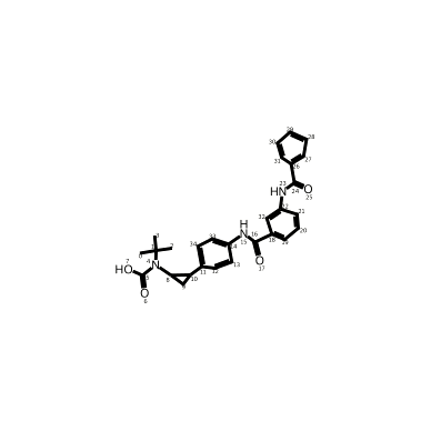 CC(C)(C)N(C(=O)O)C1CC1c1ccc(NC(=O)c2cccc(NC(=O)c3ccccc3)c2)cc1